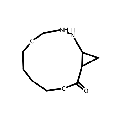 O=C1CCCCCCCNNC2CC12